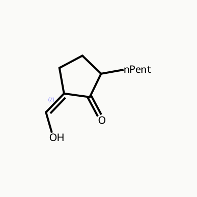 CCCCCC1CC/C(=C/O)C1=O